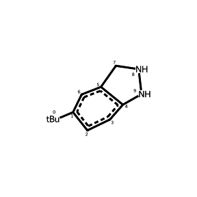 CC(C)(C)c1ccc2c(c1)CNN2